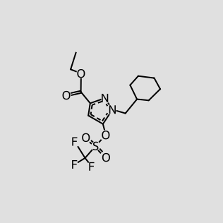 CCOC(=O)c1cc(OS(=O)(=O)C(F)(F)F)n(CC2CCCCC2)n1